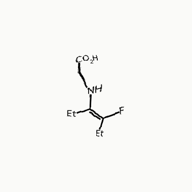 CC/C(F)=C(\CC)NCC(=O)O